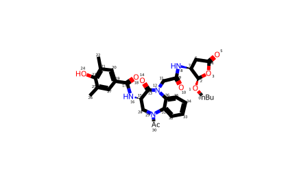 CCCCO[C@@H]1OC(=O)C[C@@H]1NC(=O)CN1C(=O)[C@@H](NC(=O)c2cc(C)c(O)c(C)c2)CN(C(C)=O)c2ccccc21